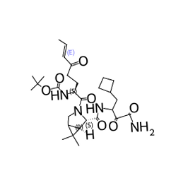 C/C=C/C(=O)CC[C@H](NC(=O)OC(C)(C)C)C(=O)N1CC2[C@@H]([C@H]1C(=O)NC(CC1CCC1)C(=O)C(N)=O)C2(C)C